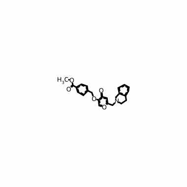 COC(=O)c1ccc(COc2coc(CN3CCc4ccccc4C3)cc2=O)cc1